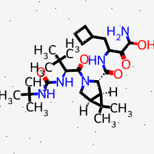 CC(C)(C)NC(=O)N[C@H](C(=O)N1C[C@H]2[C@@H]([C@H]1C(=O)NC(CC1CCC1)C(=O)C(N)O)C2(C)C)C(C)(C)C